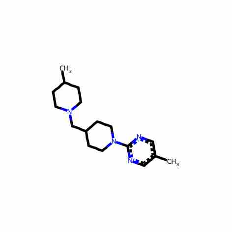 Cc1cnc(N2CCC(CN3CCC(C)CC3)CC2)nc1